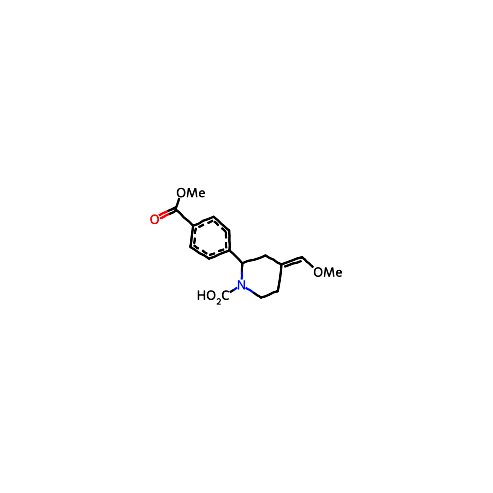 COC=C1CCN(C(=O)O)C(c2ccc(C(=O)OC)cc2)C1